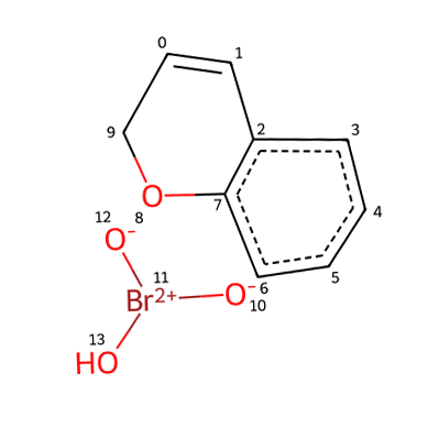 C1=Cc2ccccc2OC1.[O-][Br+2]([O-])O